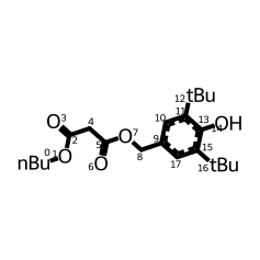 CCCCOC(=O)CC(=O)OCc1cc(C(C)(C)C)c(O)c(C(C)(C)C)c1